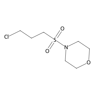 O=S(=O)(CCCCl)N1CCOCC1